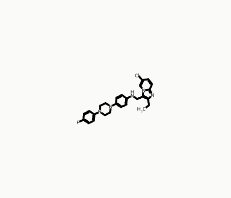 CCc1nc2ccc(Cl)cn2c1CNc1ccc(N2CCN(c3ccc(F)cc3)CC2)cc1